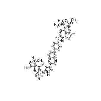 COC(=O)N[C@H](C(=O)N1[C@@H]2CC2C[C@H]1c1nc(-c2ccc(-c3ccc4nc(-c5c[nH]c([C@@H]6C[C@H]7C[C@H]7N6C(=O)[C@@H](NC(=O)O)C(C)C)n5)cnc4c3)cc2)c[nH]1)C(C)C